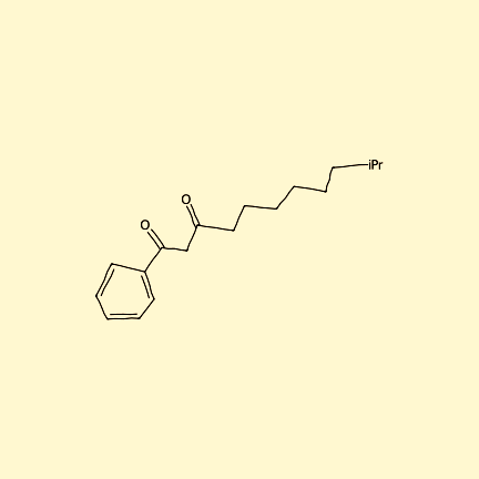 CC(C)CCCCCCC(=O)CC(=O)c1ccccc1